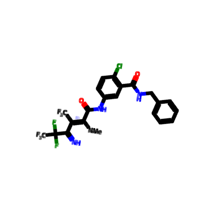 CN/C(C(=O)Nc1ccc(Cl)c(C(=O)NCc2ccccc2)c1)=C(\C(=N)C(F)(F)C(F)(F)F)C(F)(F)F